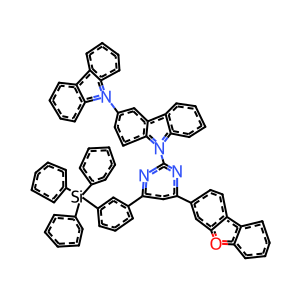 c1ccc([Si](c2ccccc2)(c2ccccc2)c2cccc(-c3cc(-c4ccc5c(c4)oc4ccccc45)nc(-n4c5ccccc5c5cc(-n6c7ccccc7c7ccccc76)ccc54)n3)c2)cc1